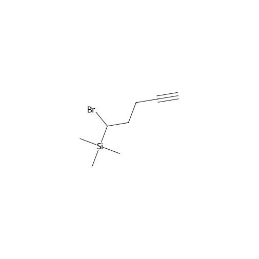 C#CCCC(Br)[Si](C)(C)C